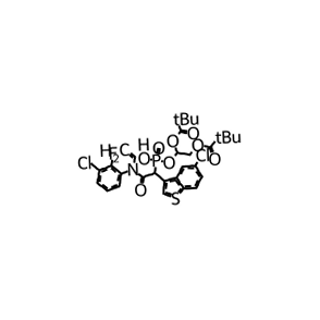 C=CN(C(=O)C(c1csc2ccc(Cl)cc12)P(=O)(O)OC(COC(=O)C(C)(C)C)OC(=O)C(C)(C)C)c1cccc(Cl)c1F